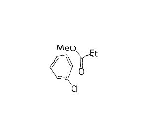 CCC(=O)OC.Clc1ccccc1